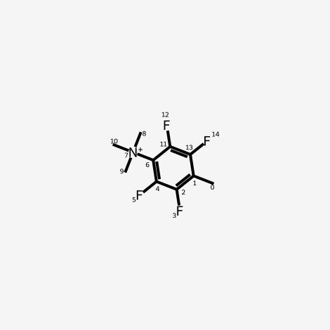 Cc1c(F)c(F)c([N+](C)(C)C)c(F)c1F